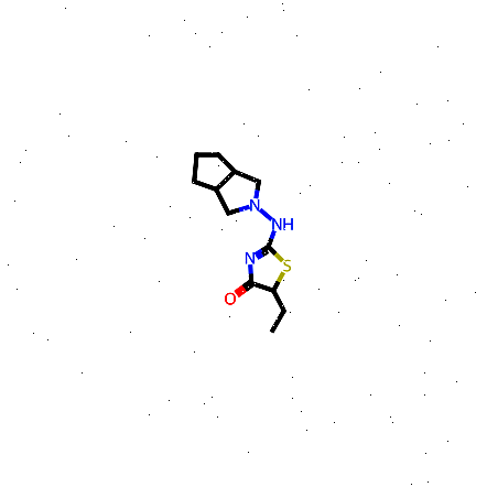 CCC1SC(NN2CC3CCCC3C2)=NC1=O